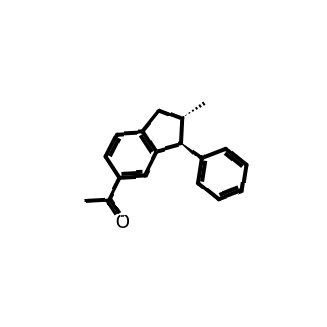 CC(=O)c1ccc2c(c1)[C@H](c1ccccc1)[C@@H](C)C2